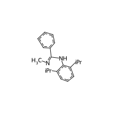 C/N=C(/Nc1c(C(C)C)cccc1C(C)C)c1ccccc1